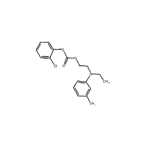 CCN(CCOC(=O)Oc1ccccc1Cl)c1cccc(C)c1